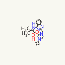 CC(C)[C@H](Nc1nc(CN2CCN(C3CCC3)CC2)nc2ccccc12)C(=O)O